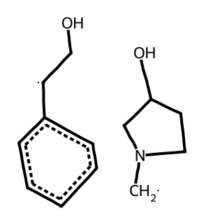 OC[CH]c1ccccc1.[CH2]N1CCC(O)C1